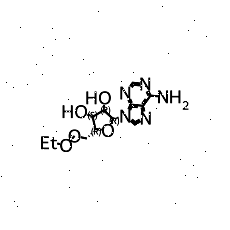 CCOOC[C@H]1O[C@@H](n2cnc3c(N)ncnc32)[C@H](O)[C@@H]1O